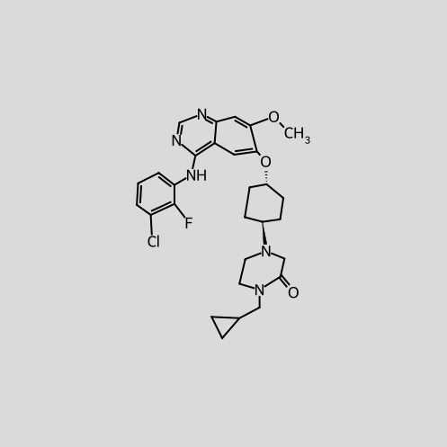 COc1cc2ncnc(Nc3cccc(Cl)c3F)c2cc1O[C@H]1CC[C@H](N2CCN(CC3CC3)C(=O)C2)CC1